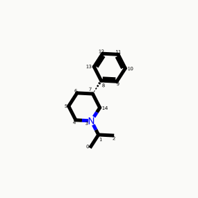 CC(C)N1CCC[C@H](c2ccccc2)C1